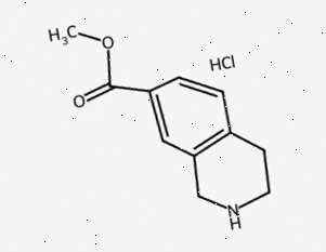 COC(=O)c1ccc2c(c1)CNCC2.Cl